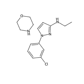 C1COCCN1.CCNc1ccn(-c2cccc(Cl)c2)n1